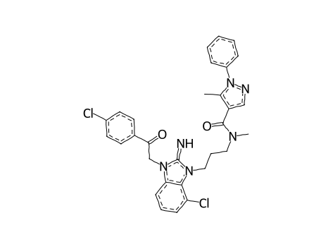 Cc1c(C(=O)N(C)CCCn2c(=N)n(CC(=O)c3ccc(Cl)cc3)c3cccc(Cl)c32)cnn1-c1ccccc1